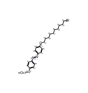 CCCCCCCCOc1ccc(/N=N/c2ccc(OCCCCCCCCCCBr)cc2)cc1